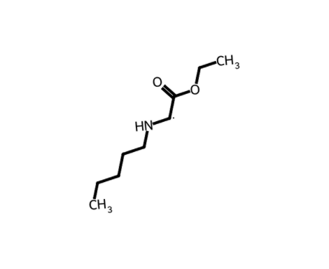 CCCCCN[CH]C(=O)OCC